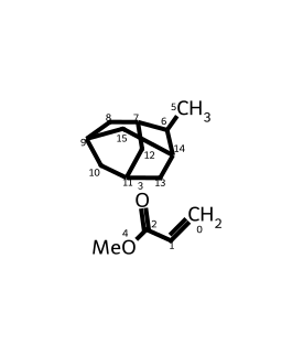 C=CC(=O)OC.CC1C2CC3CC(C2)CC1C3